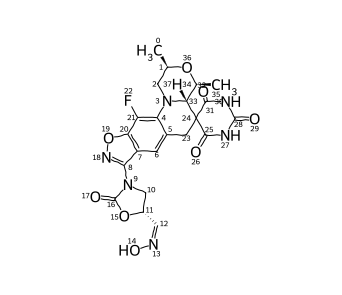 C[C@@H]1CN2c3c(cc4c(N5C[C@H](/C=N\O)OC5=O)noc4c3F)CC3(C(=O)NC(=O)NC3=O)[C@H]2[C@H](C)O1